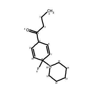 CCCC(=O)C1C=CC(F)(N2CCCCC2)C=C1